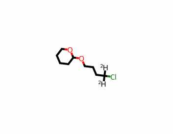 [2H]C([2H])(Cl)CCCOC1CCCCO1